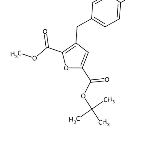 COC(=O)c1oc(C(=O)OC(C)(C)C)cc1Cc1ccc(F)cc1